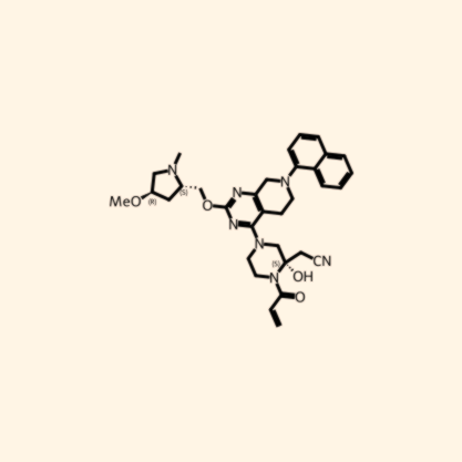 C=CC(=O)N1CCN(c2nc(OC[C@@H]3C[C@@H](OC)CN3C)nc3c2CCN(c2cccc4ccccc24)C3)C[C@@]1(O)CC#N